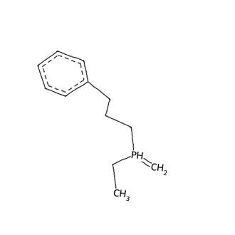 C=[PH](CC)CCCc1ccccc1